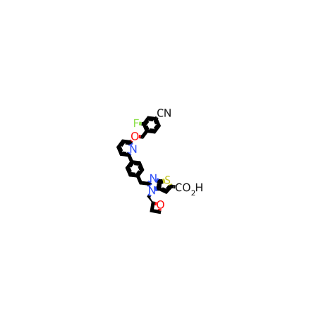 N#Cc1ccc(COc2cccc(-c3ccc(Cc4nc5sc(C(=O)O)cc5n4C[C@@H]4CCO4)cc3)n2)c(F)c1